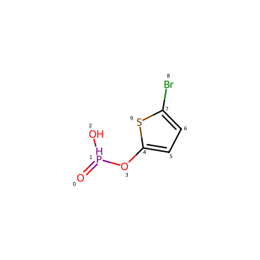 O=[PH](O)Oc1ccc(Br)s1